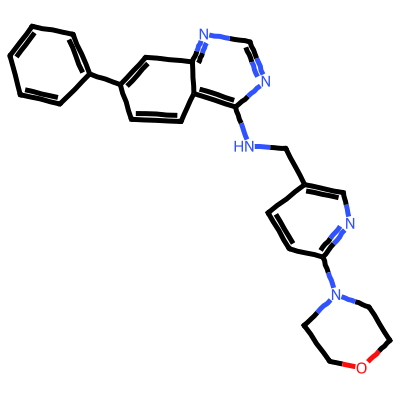 c1ccc(-c2ccc3c(NCc4ccc(N5CCOCC5)nc4)ncnc3c2)cc1